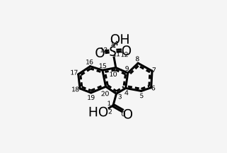 O=C(O)c1c2ccccc2c(S(=O)(=O)O)c2ccccc12